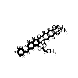 CCC(=O)Oc1c(OCCCCCOC)c(OCCCCCOC)cc2ccc(Cc3ccccc3)cc12